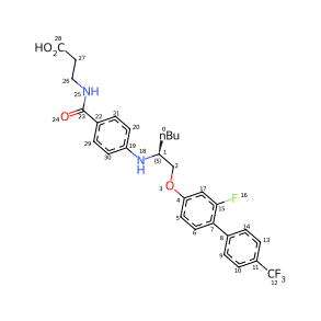 CCCC[C@@H](COc1ccc(-c2ccc(C(F)(F)F)cc2)c(F)c1)Nc1ccc(C(=O)NCCC(=O)O)cc1